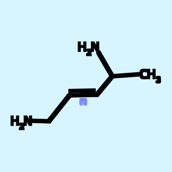 CC(N)/C=C/CN